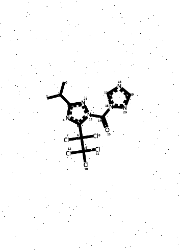 CC(C)c1nc(C(Cl)(Cl)C(Cl)(Cl)Cl)n(C(=O)n2cncn2)n1